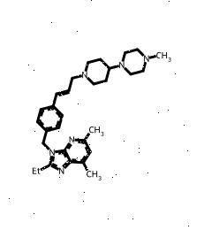 CCc1nc2c(C)cc(C)nc2n1Cc1ccc(C=CCN2CCC(N3CCN(C)CC3)CC2)cc1